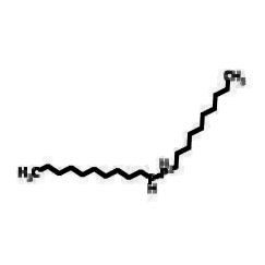 CCCCCCCCCCP[PH3]CCCCCCCCCC